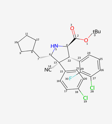 CC(C)(C)OC(=O)[C@@H]1N[C@@H](CC2CCCC2)[C@](C#N)(c2ccc(Cl)cc2)[C@H]1c1cccc(Cl)c1F